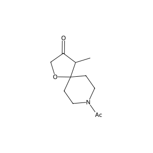 CC(=O)N1CCC2(CC1)OCC(=O)C2C